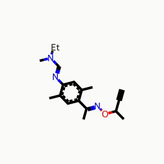 C#CC(C)ON=C(C)c1cc(C)c(N=CN(C)CC)cc1C